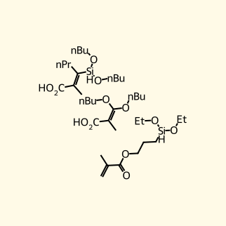 C=C(C)C(=O)OCCC[SiH](OCC)OCC.CCCCOC(OCCCC)=C(C)C(=O)O.CCCCO[SiH](OCCCC)C(CCC)=C(C)C(=O)O